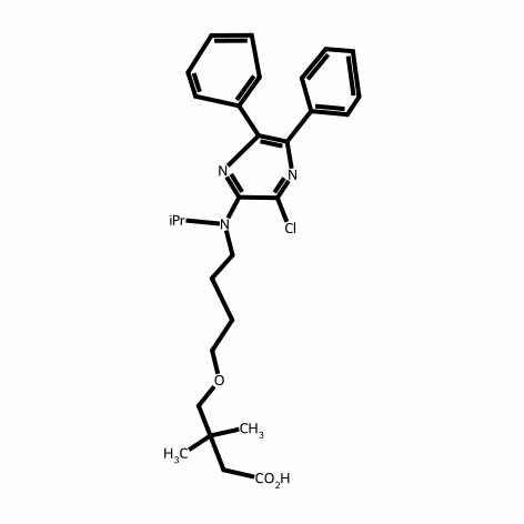 CC(C)N(CCCCOCC(C)(C)CC(=O)O)c1nc(-c2ccccc2)c(-c2ccccc2)nc1Cl